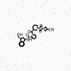 N#CC1CN(S(=O)(=O)N2CCC[C@H](C(=O)N3CCC[C@@H]3C(=O)N[C@H]3C[C@H](CO)c4ccccc43)C2)C1